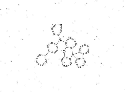 c1ccc(-c2ccc(N(c3ccccc3)c3cccc4c3Oc3ccccc3C4(c3ccccc3)c3ccccc3)cc2)cc1